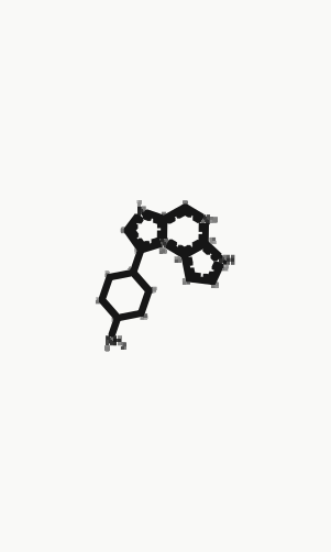 NC1CCC(c2cnc3cnc4[nH]ccc4n23)CC1